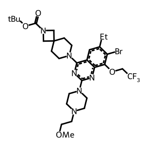 CCc1cc2c(N3CCC4(CC3)CN(C(=O)OC(C)(C)C)C4)nc(N3CCN(CCOC)CC3)nc2c(OCC(F)(F)F)c1Br